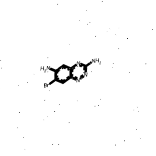 Nc1nnc2cc(Br)c(N)cc2n1